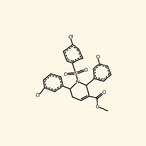 COC(=O)C1=CCC(c2cccc(Cl)c2)N(S(=O)(=O)c2ccc(Cl)cc2)C1c1cccc(Cl)c1